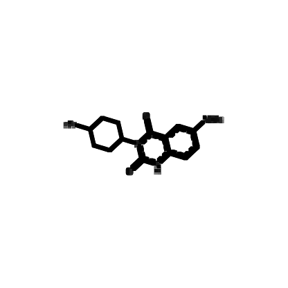 CCCC1CCC(n2c(=O)[nH]c3ccc(NC(C)=O)cc3c2=O)CC1